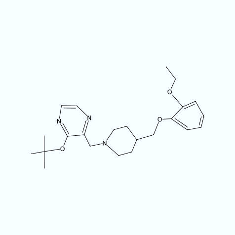 CCOc1ccccc1OCC1CCN(Cc2nccnc2OC(C)(C)C)CC1